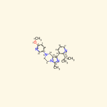 COc1ccc(N2CCn3c(C)nc(-c4cccnc4C(C)C)c3C2)cn1